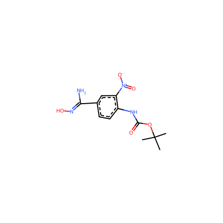 CC(C)(C)OC(=O)Nc1ccc(C(N)=NO)cc1[N+](=O)[O-]